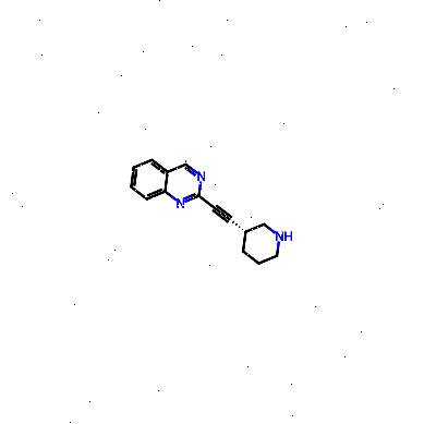 C(#C[C@H]1CCCNC1)c1n[c]c2ccccc2n1